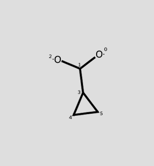 [O]C([O])C1CC1